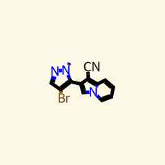 Cn1ncc(Br)c1-c1cn2ccccc2c1C#N